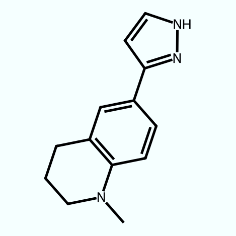 CN1CCCc2cc(-c3cc[nH]n3)ccc21